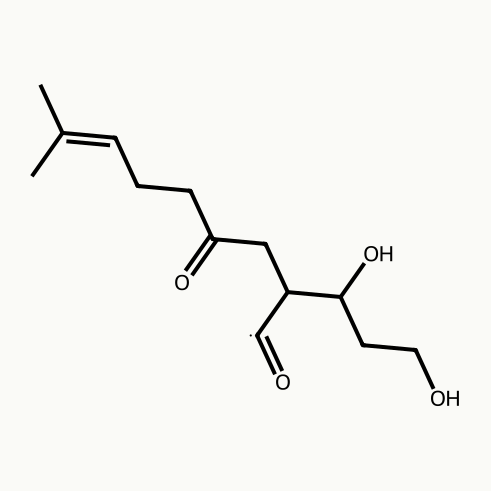 CC(C)=CCCC(=O)CC([C]=O)C(O)CCO